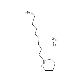 CCC.CCCCCCCCCCCCCCCCCC[SiH]1CCCCO1